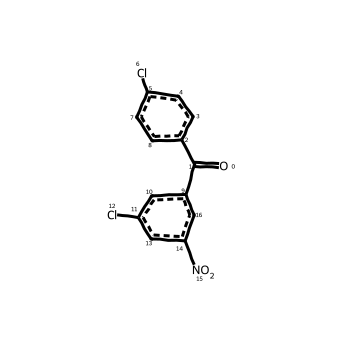 O=C(c1ccc(Cl)cc1)c1cc(Cl)cc([N+](=O)[O-])c1